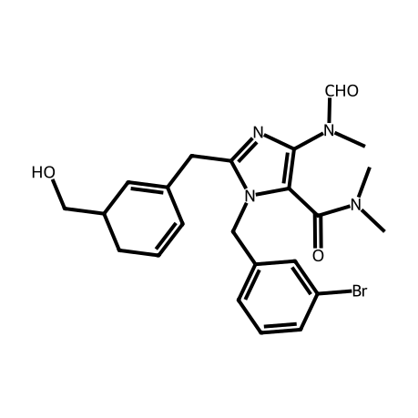 CN(C)C(=O)c1c(N(C)C=O)nc(CC2=CC(CO)CC=C2)n1Cc1cccc(Br)c1